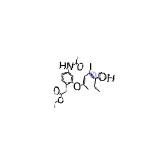 CCOC(=O)Cc1ccc(NC(C)=O)cc1OC(C)=C/C(I)=C(/O)CC